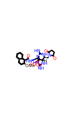 COc1ccc2ccccc2c1C(=O)NC1CN2C(=N)N[C@@H](CN3C(=O)CCC3=O)[C@@H]3NC(=N)N[C@@]32C1(O)O